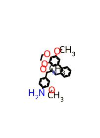 COc1cc(C(=O)/C(C)=C/c2ccccc2-c2cc(OC)c3c(c2)OCCO3)ccc1N